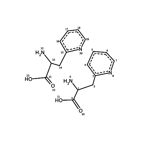 NC(Cc1ccccn1)C(=O)O.NC(Cc1ccccn1)C(=O)O